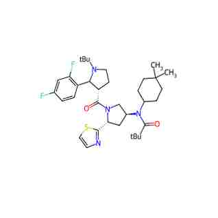 CC1(C)CCC(N(C(=O)C(C)(C)C)[C@H]2C[C@H](c3nccs3)N(C(=O)[C@H]3CCN(C(C)(C)C)C3c3ccc(F)cc3F)C2)CC1